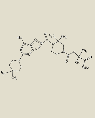 COC(=O)C(C)(C)OC(=O)N1CCN(C(=O)c2cc3nc(C4CCC(C)(C)CC4)cc(C(C)(C)C)c3o2)C(C)(C)C1